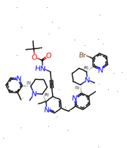 Cc1ccc(CC2=CC(C#CCNC(=O)OC(C)(C)C)C(C)([C@H]3CCC[C@@H](c4ncccc4C)N3C)N=C2)nc1[C@@H]1CCC[C@H](c2ncccc2Br)N1C